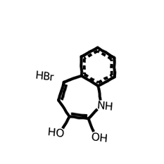 Br.OC1=C(O)Nc2ccccc2C=C1